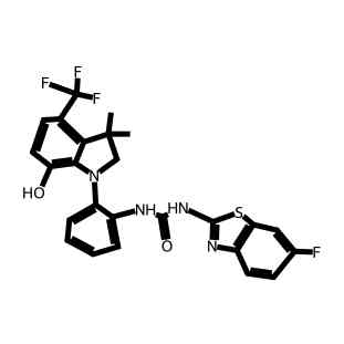 CC1(C)CN(c2ccccc2NC(=O)Nc2nc3ccc(F)cc3s2)c2c(O)ccc(C(F)(F)F)c21